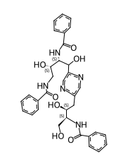 O=C(NC[C@H](O)[C@H](NC(=O)c1ccccc1)C(O)c1cnc(C[C@H](O)[C@H](CO)NC(=O)c2ccccc2)cn1)c1ccccc1